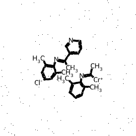 CC(=Nc1c(C)cccc1C)c1cccnc1.C[C]([Cr+])=Nc1c(C)cccc1C.[Cl-]